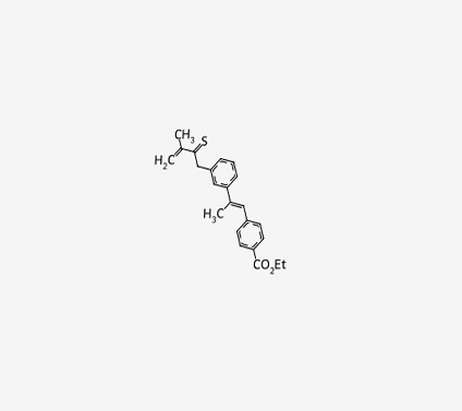 C=C(C)C(=S)Cc1cccc(/C(C)=C/c2ccc(C(=O)OCC)cc2)c1